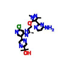 Cc1nn(C)c(OCC[C@H](C)Nc2cc(Cl)ncc2-c2cnc(C(C)(C)O)cn2)c1-c1nccc(N)n1